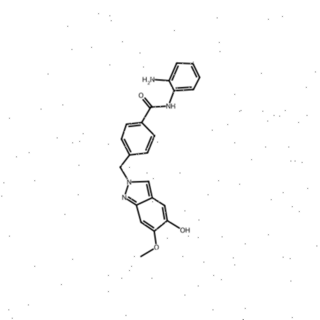 COc1cc2nn(Cc3ccc(C(=O)Nc4ccccc4N)cc3)cc2cc1O